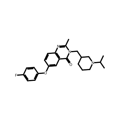 Cc1nc2ccc(Oc3ccc(F)cc3)cc2c(=O)n1CC1CCCN(C(C)C)C1